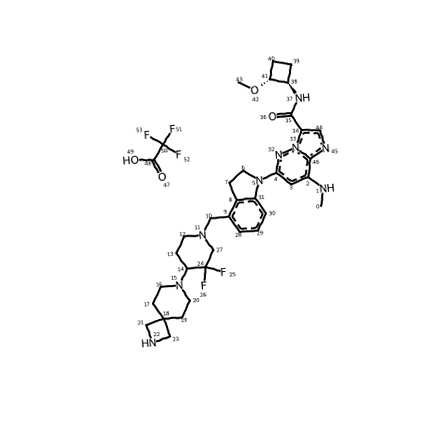 CNc1cc(N2CCc3c(CN4CCC(N5CCC6(CC5)CNC6)C(F)(F)C4)cccc32)nn2c(C(=O)N[C@@H]3CC[C@H]3OC)cnc12.O=C(O)C(F)(F)F